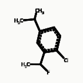 C[C](C)c1ccc(Cl)c(C(C)F)c1